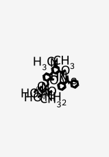 COc1c(CN2O[C@@H](CO)[C@H]([C@H](C)O)[C@H]2C(N)=O)cccc1-c1cc(C(=O)NCC(c2ccccc2)c2ccccc2)cc(N(C)C)c1